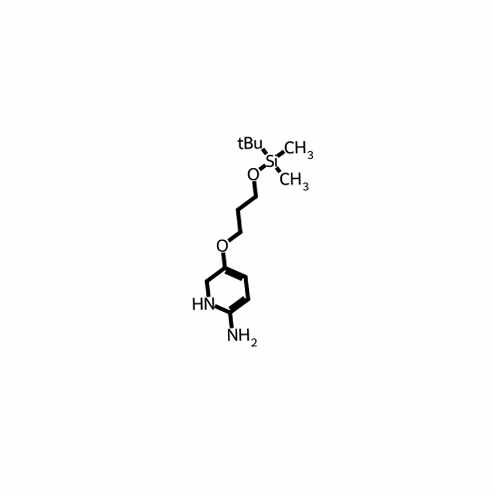 CC(C)(C)[Si](C)(C)OCCCOC1=CC=C(N)NC1